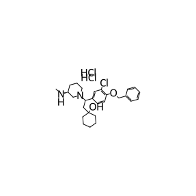 CN[C@H]1CCCN(C(CC2(O)CCCCC2)c2ccc(OCc3ccccc3)c(Cl)c2)C1.Cl.Cl